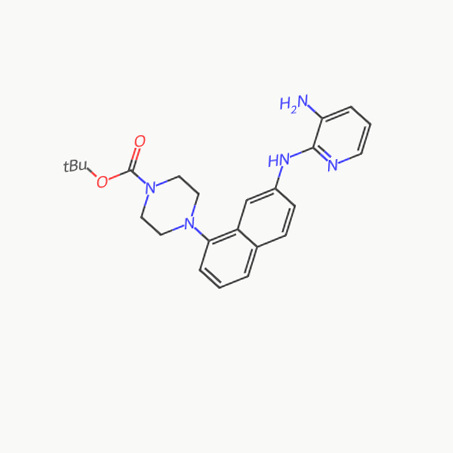 CC(C)(C)OC(=O)N1CCN(c2cccc3ccc(Nc4ncccc4N)cc23)CC1